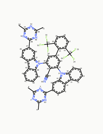 Cc1nc(C)nc(-c2ccc3c4ccccc4n(-c4cc(-c5c(C(F)(F)F)cccc5C(F)(F)F)cc(-n5c6ccccc6c6ccc(-c7nc(C)nc(C)n7)cc65)c4C#N)c3c2)n1